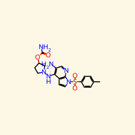 Cc1ccc(S(=O)(=O)n2ccc3c(NN4CC[C@@H](OC(N)=O)C4)c(N)cnc32)cc1